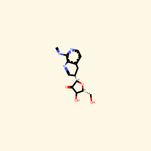 C=Nc1nccc2c1N=CC([C@@H]1O[C@H](CO)C(O)C1=O)C2